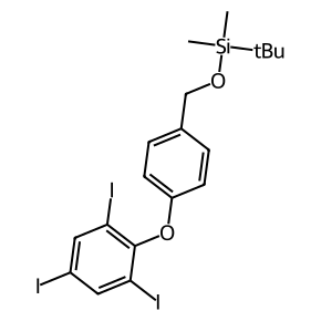 CC(C)(C)[Si](C)(C)OCc1ccc(Oc2c(I)cc(I)cc2I)cc1